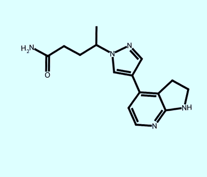 CC(CCC(N)=O)n1cc(-c2ccnc3c2CCN3)cn1